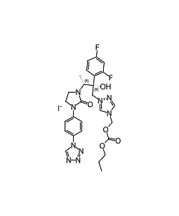 CCCOC(=O)OCn1cn[n+](C[C@](O)(c2ccc(F)cc2F)[C@@H](C)N2CCN(c3ccc(-n4cnnn4)cc3)C2=O)c1.[I-]